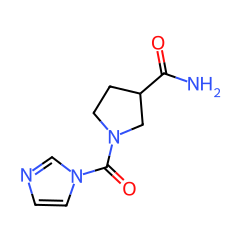 NC(=O)C1CCN(C(=O)n2ccnc2)C1